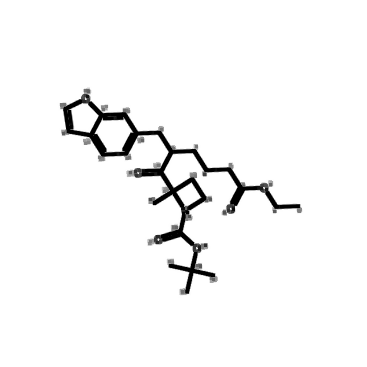 CCOC(=O)CCCC(Cc1ccc2ccoc2c1)C(=O)C1(C)CCN1C(=O)OC(C)(C)C